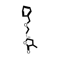 CC1C[C@@H](CCOCc2ccccc2)OC1=O